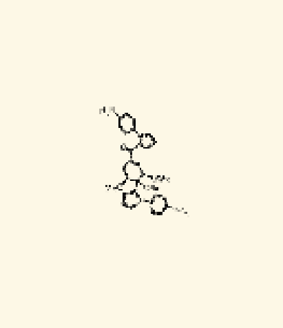 COC1=CC(C(=O)c2cccn2-c2ccc(N)cc2)=CC(OC)C1(OC)c1cccn1-c1ccc(N)cc1